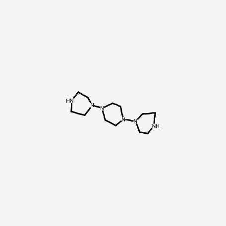 C1CN(N2CCN(N3CCNCC3)CC2)CCN1